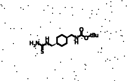 CC(C)(C)OC(=O)NC[C@H]1CC[C@H](CNC(N)=S)CC1